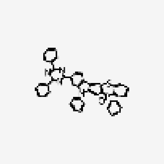 O=P1(c2ccccc2)c2ccccc2Sc2cc3c4ccc(-c5nc(-c6ccccc6)nc(-c6ccccc6)n5)cc4n(-c4ccccc4)c3cc21